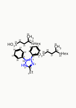 CCC1=NN(c2ccccc2)N(c2ccccc2)N1.CCCCCCC(C)CCS(=O)(=O)O.CCCCCCC(C)CCS(=O)(=O)O